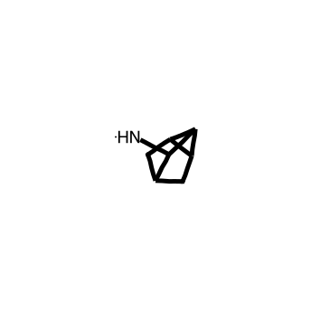 [NH]C1C2CC3C(C2)C13